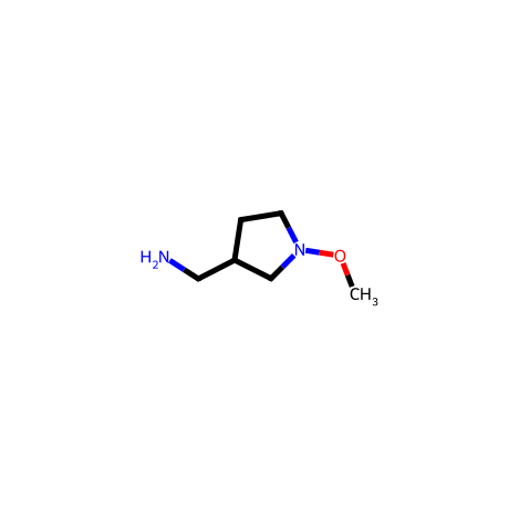 CON1CCC(CN)C1